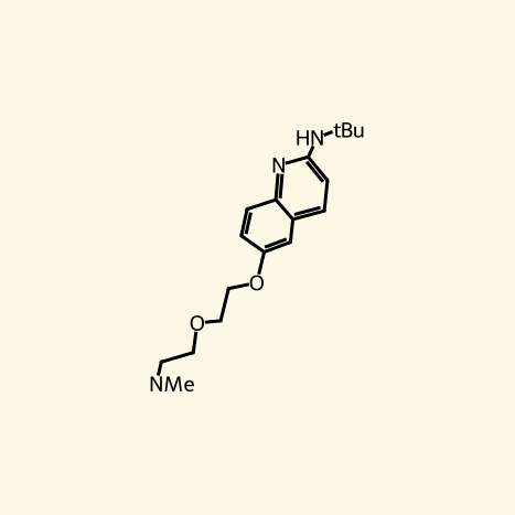 CNCCOCCOc1ccc2nc(NC(C)(C)C)ccc2c1